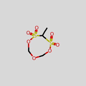 CC1S(=O)(=O)OCOCOS1(=O)=O